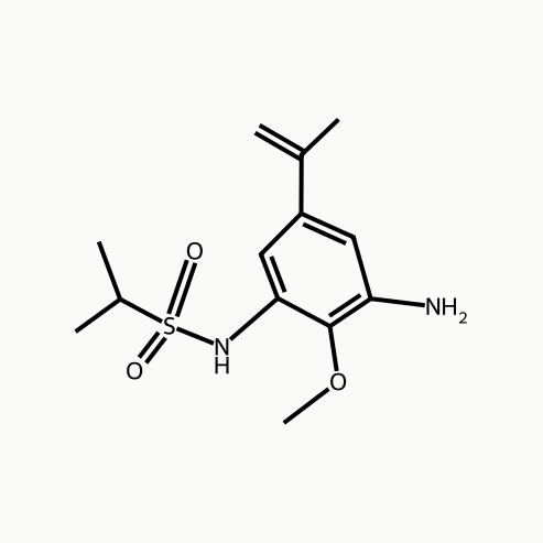 C=C(C)c1cc(N)c(OC)c(NS(=O)(=O)C(C)C)c1